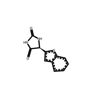 O=C1NC(=O)[C@H](c2cc3ccccc3s2)N1